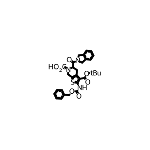 CC(C)(C)OC(=O)c1c(NC(=O)OCc2ccccc2)sc2c1CC(C(=O)N1Cc3ccccc3C1)N(C(=O)O)C2